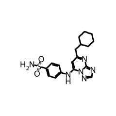 NS(=O)(=O)c1ccc(Nc2cc(CC3CCCCC3)nc3ncnn23)cc1